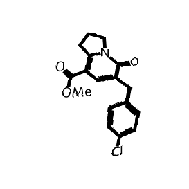 COC(=O)c1cc(Cc2ccc(Cl)cc2)c(=O)n2c1CCC2